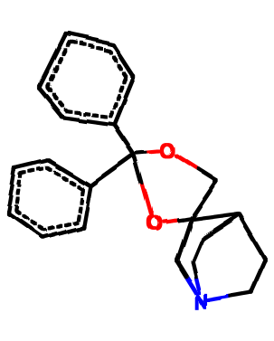 c1ccc(C2(c3ccccc3)OCC3(CN4CCC3CC4)O2)cc1